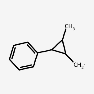 [CH2]C1C(C)C1c1ccccc1